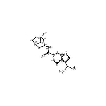 CC(C)c1coc2cc(C(=O)N[C@@H]3C[C@@H]4CCN(C4)C3)ccc12